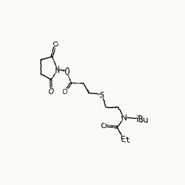 CCC(=O)N(CCSCCC(=O)ON1C(=O)CCC1=O)C(C)CC